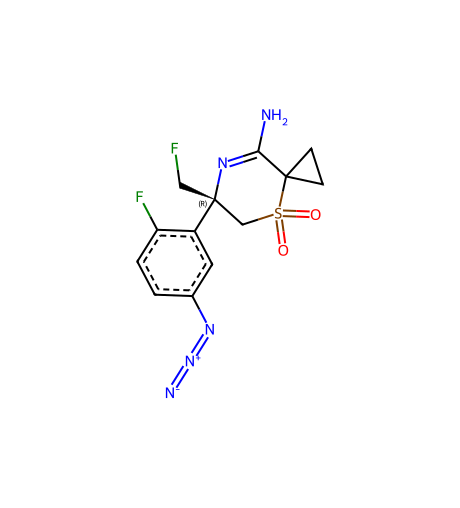 [N-]=[N+]=Nc1ccc(F)c([C@@]2(CF)CS(=O)(=O)C3(CC3)C(N)=N2)c1